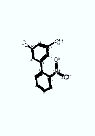 O=[N+]([O-])c1ccccc1-c1cc(O)cc(O)c1